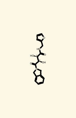 O=C(NCc1ccco1)[C@H](O)[C@@H](O)C(=O)N1Cc2ccccc2C1